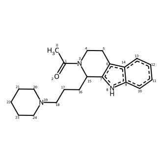 CC(=O)N1CCc2c([nH]c3ccccc23)C1CCCN1CCCCC1